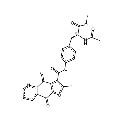 COC(=O)[C@H](Cc1ccc(OC(=O)c2c(C)oc3c2C(=O)c2ncccc2C3=O)cc1)NC(C)=O